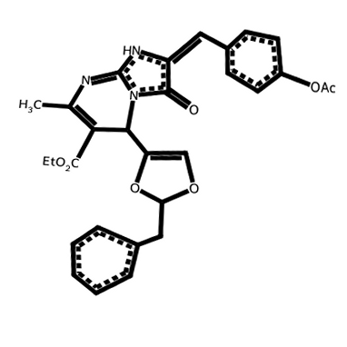 CCOC(=O)C1=C(C)N=c2[nH]c(=Cc3ccc(OC(C)=O)cc3)c(=O)n2C1C1=COC(Cc2ccccc2)O1